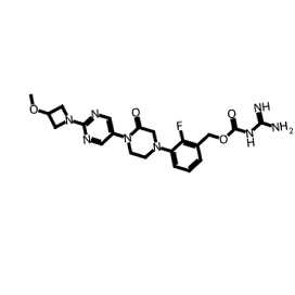 COC1CN(c2ncc(N3CCN(c4cccc(COC(=O)NC(=N)N)c4F)CC3=O)cn2)C1